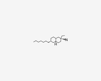 CCCCCCC[C@H]1CCC2C[C@](C#N)(CC)CC[C@@H]2C1